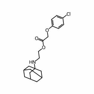 O=C(COc1ccc(Cl)cc1)OCCNC12CC3CC(CC(C3)C1)C2